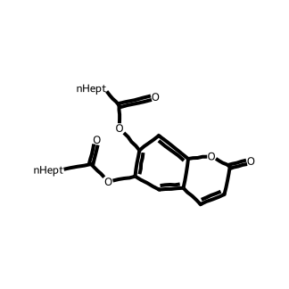 CCCCCCCC(=O)Oc1cc2ccc(=O)oc2cc1OC(=O)CCCCCCC